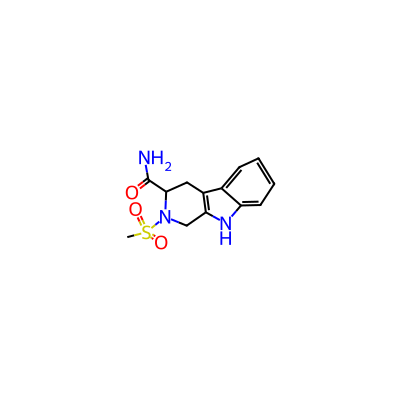 CS(=O)(=O)N1Cc2[nH]c3ccccc3c2CC1C(N)=O